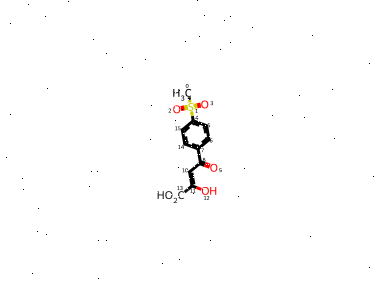 CS(=O)(=O)c1ccc(C(=O)/C=C(\O)C(=O)O)cc1